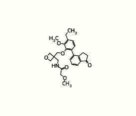 CCc1ccc(-c2cccc3c2CCC3=O)c(OCC2(CNC(=O)COC)COC2)c1OC